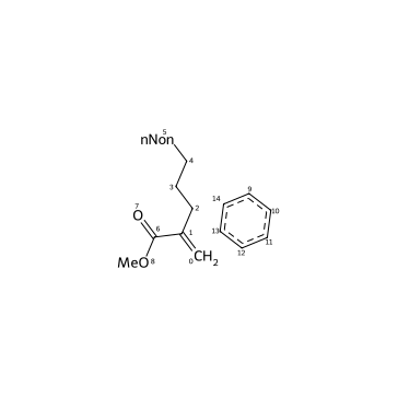 C=C(CCCCCCCCCCCC)C(=O)OC.c1ccccc1